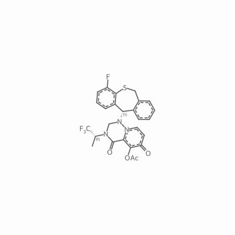 CC(=O)Oc1c2n(ccc1=O)N([C@H]1c3ccccc3CSc3c(F)cccc31)CN([C@H](C)C(F)(F)F)C2=O